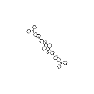 c1ccc(N(c2ccccc2)c2ccc3nc(-c4ccc5c(c4)oc4c6c7c(c8c(oc9cc(-c%10ccc%11cc(N(c%12ccccc%12)c%12ccccc%12)ccc%11n%10)ccc98)c8c7c(c45)CCC8)CCC6)ccc3c2)cc1